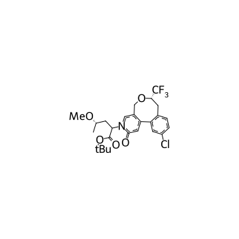 CO[C@@H](C)CC(C(=O)OC(C)(C)C)n1cc2c(cc1=O)-c1cc(Cl)ccc1C[C@@H](C(F)(F)F)OC2